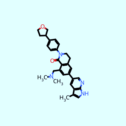 Cc1c[nH]c2ncc(-c3cc4c(c(CN(C)C)c3)C(=O)N(c3ccc(C5CCOC5)cc3)CC4)cc12